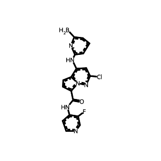 Bc1cccc(Nc2cc(Cl)nn3c(C(=O)Nc4ccncc4F)ccc23)n1